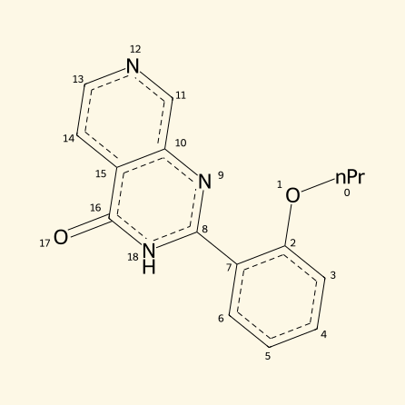 CCCOc1ccccc1-c1nc2cnccc2c(=O)[nH]1